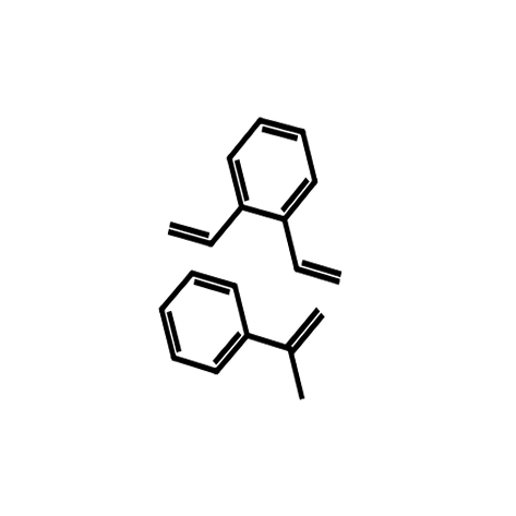 C=C(C)c1ccccc1.C=Cc1ccccc1C=C